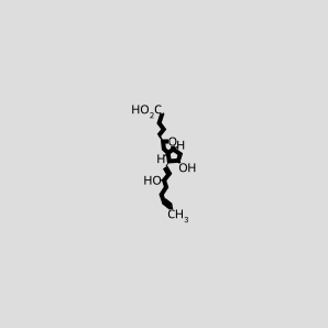 CC#CCC[C@H](O)/C=C/[C@@H]1[C@H]2C[C@@H](CCCCC(=O)O)O[C@H]2C[C@H]1O